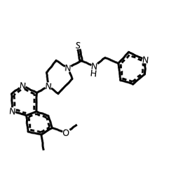 COc1cc2c(N3CCN(C(=S)NCc4cccnc4)CC3)ncnc2cc1C